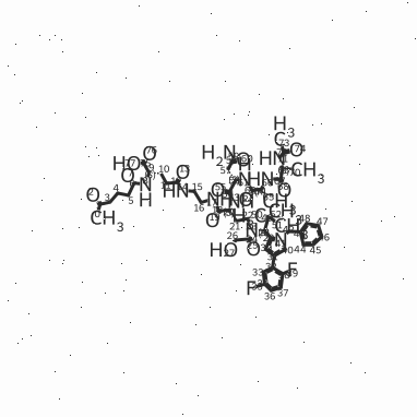 CC(=O)CCCC(=O)N[C@@H](CCC(=O)NCCNC(=O)[C@H](CCN(C(=O)CO)[C@@H](c1cc(-c2cc(F)ccc2F)cn1Cc1ccccc1)C(C)(C)C)NC(=O)[C@H](CC(N)=O)NC(=O)[C@@H](C)NC(=O)[C@H](C)NC(C)=O)C(=O)O